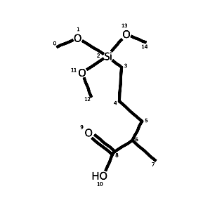 CO[Si](CCCC(C)C(=O)O)(OC)OC